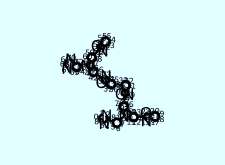 c1cnc(-c2cccc(-n3c4ccc(-c5nc6ccccc6o5)cc4c4cc(-c5nc6cccc(-c7ccc8oc(-c9ccc%10c(c9)c9cc(-c%11nc%12ccccc%12o%11)ccc9n%10-c9ccc%10nccnc%10c9)nc8c7)c6o5)ccc43)c2)nc1